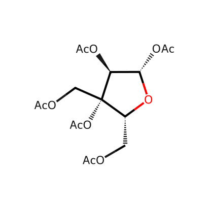 CC(=O)OC[C@H]1O[C@@H](OC(C)=O)[C@H](OC(C)=O)[C@@]1(COC(C)=O)OC(C)=O